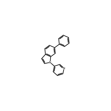 c1ccc(-c2ccc3ccn(-c4cccnc4)c3c2)cc1